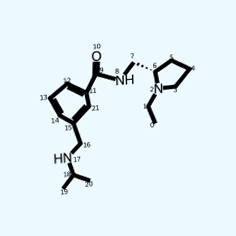 CCN1CCC[C@H]1CNC(=O)c1cccc(CNC(C)C)c1